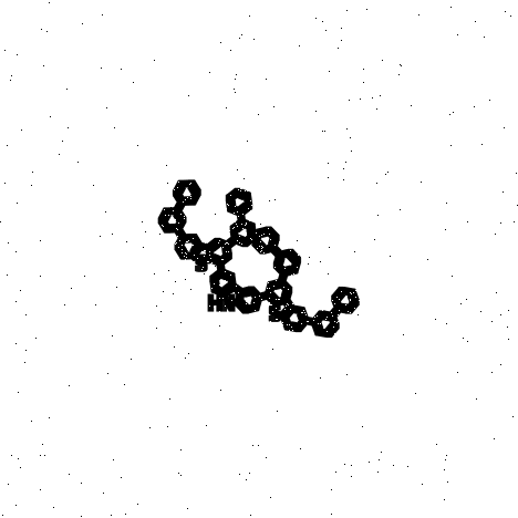 c1ccc(-c2cccc(-c3ccc4sc5c(-c6ccc7[nH]c8ccc(-c9cc(-c%10cccc(-c%11ccccc%11)c%10)cc%10c9sc9ccc(-c%11cccc(-c%12ccccc%12)c%11)cc9%10)cc8c7c6)cc(-c6cccc(-c7ccccc7)c6)cc5c4c3)c2)cc1